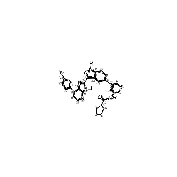 O=C(Nc1cncc(-c2ccc3[nH]nc(-c4nc5c(-c6ccc(F)s6)ccnc5[nH]4)c3c2)c1)C1CCCC1